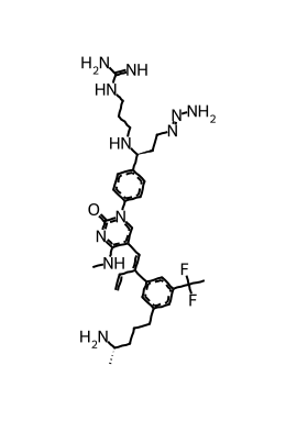 C=C/C(=C\c1cn(-c2ccc([C@H](CCN=NN)NCCCNC(=N)N)cc2)c(=O)nc1NC)c1cc(CCC[C@H](C)N)cc(C(C)(F)F)c1